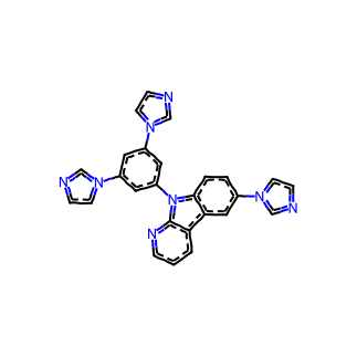 c1cnc2c(c1)c1cc(-n3ccnc3)ccc1n2-c1cc(-n2ccnc2)cc(-n2ccnc2)c1